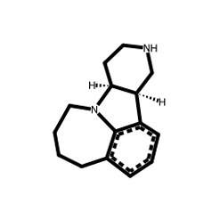 c1cc2c3c(c1)[C@@H]1CNCC[C@@H]1N3CCCC2